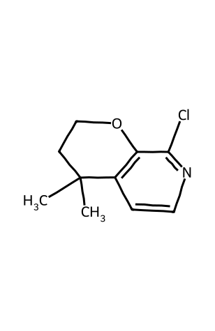 CC1(C)CCOc2c1ccnc2Cl